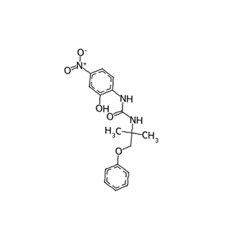 CC(C)(COc1ccccc1)NC(=O)Nc1ccc([N+](=O)[O-])cc1O